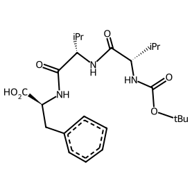 CC(C)[C@H](NC(=O)OC(C)(C)C)C(=O)N[C@H](C(=O)N[C@@H](Cc1ccccc1)C(=O)O)C(C)C